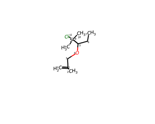 C=C(C)COC(CC)[Si](C)(C)Cl